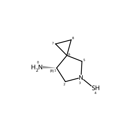 N[C@H]1CN(S)CC12CC2